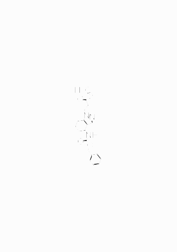 COC(=O)CCn1ncc2c1CCCC2NC(=O)OCc1ccccc1